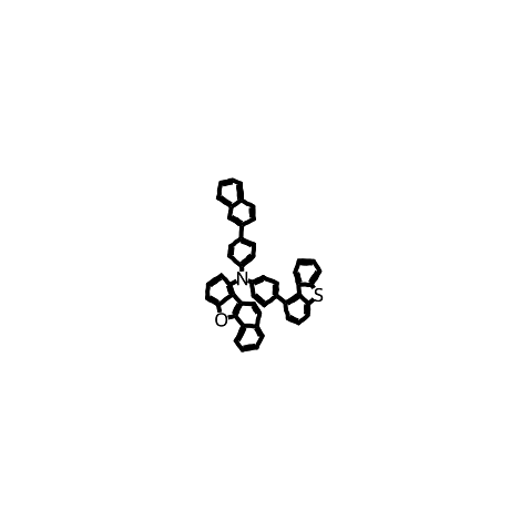 c1ccc2cc(-c3ccc(N(c4ccc(-c5cccc6sc7ccccc7c56)cc4)c4cccc5oc6c7ccccc7ccc6c45)cc3)ccc2c1